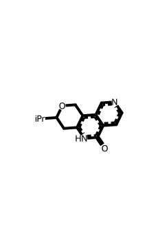 CC(C)C1Cc2[nH]c(=O)c3ccncc3c2CO1